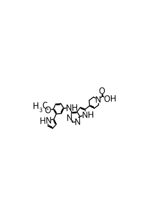 COc1ccc(Nc2ncnc3[nH]c(C4=CCN(C(=O)O)CC4)cc23)cc1-c1ccc[nH]1